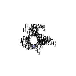 CC[C@H]1OC(=O)[C@H](C)[C@@H](O[C@H]2C[C@@](C)(OC)[C@@H](N)[C@H](C)O2)[C@H](C)[C@@H](O[C@@H]2O[C@H](C)C[C@H](N(C)C)[C@H]2O)[C@](C)(O)C[C@@H](C)/C(=N/O)[C@H](C)[C@@H](O)[C@]1(C)O